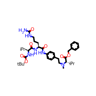 CC(C)[C@H](NC(=O)OC(C)(C)C)C(=O)N[C@@H](CCCNC(N)=O)C(=O)Nc1ccc(CCN(C)[C@H](C(=O)OCc2ccccc2)C(C)C)cc1